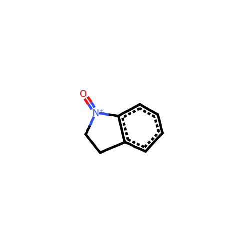 O=[N+]1CCc2ccccc21